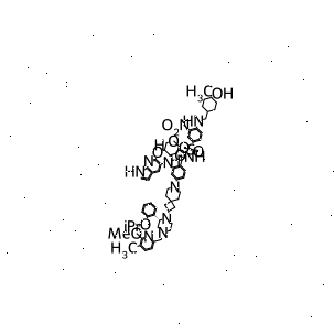 COc1nc(CN2CCN(C3CC4(CCN(c5ccc(C(=O)NS(=O)(=O)c6ccc(NCC7CCC(C)(O)CC7)c([N+](=O)[O-])c6)c(N6c7cc8cc[nH]c8nc7O[C@H]7COCC[C@@H]76)c5)CC4)C3)[C@@H](c3ccccc3OC(C)C)C2)ccc1C